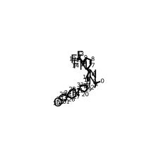 CC(C)n1nc(-c2cccc(C(F)(F)F)n2)cc1[C@H]1CCC(N2CCC3(CC2)C[S+]([O-])C3)C1